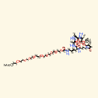 COCCOCCOCCOCCOCCOCCOCCOCCOCCOCC(=O)NCCCC[C@H](NC(=O)CCCN1C(=O)C=CC1=O)C(=O)N[C@@H](C)C(=O)N[C@@H](C)C(=O)N[C@@H](C)C(=O)OC(C)(C)C